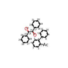 CC(=O)c1ccccc1-c1ccccc1.O=C(C(=O)c1ccccc1)c1ccccc1